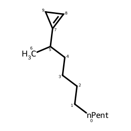 CCCCCCCCCC(C)C1=CC1